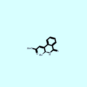 CC[C@H](C)[C@@H]1NC(=S)c2ccccc2/C1=C/C(=O)OC